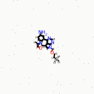 Cc1coc(-c2cn(COCC[Si](C)(C)C)c3ncnc(-c4cccc(N)c4)c23)n1